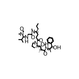 CCC[C@@H](CCC(=O)N1CCC[C@H]1[C@H](OC)[C@@H](C)C(=O)N[C@H](C)[C@@H](O)c1ccccc1)N(C)C(=O)CNC(C(C)C)N(C)C=O